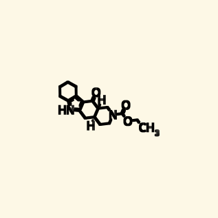 CCOC(=O)N1CC[C@H]2Cc3[nH]c4c(c3C(=O)[C@@H]2C1)CCCC4